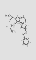 COC(=O)c1sc2ccn3nc(OCc4ccccc4)cc3c2c1NC[C@@H](C)N